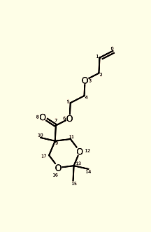 C=CCOCCOC(=O)C1(C)COC(C)(C)OC1